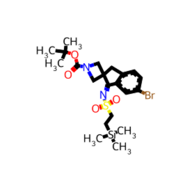 CC(C)(C)OC(=O)N1CC2(Cc3ccc(Br)cc3C2=NS(=O)(=O)CC[Si](C)(C)C)C1